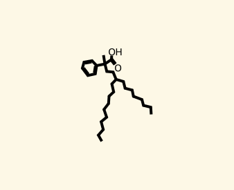 CCCCCCCCCCC(CCCCCCCC)CCC(C)(C(=O)O)c1ccccc1